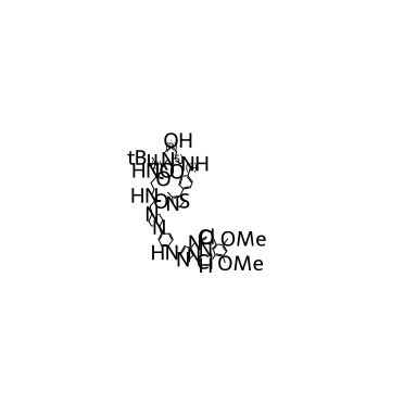 COc1cc(OC)c(Cl)c(NC(=O)N(C)c2cc(Nc3ccc(N4CCN(CC(=O)NCCC(=O)N[C@H](C(=O)N5C[C@H](O)C[C@H]5C(=O)N[C@@H](C)c5ccc(-c6scnc6C)cc5)C(C)(C)C)CC4)cc3)ncn2)c1Cl